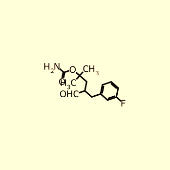 CC(C)(CC(C=O)Cc1cccc(F)c1)OC(N)=O